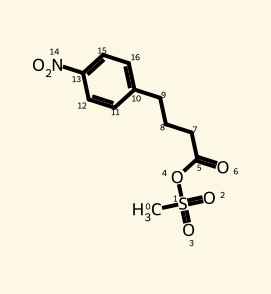 CS(=O)(=O)OC(=O)CCCc1ccc([N+](=O)[O-])cc1